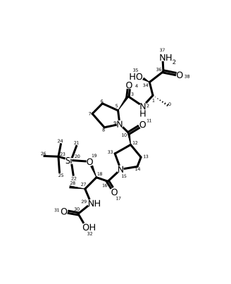 C[C@H](NC(=O)[C@@H]1CCCN1C(=O)[C@H]1CCN(C(=O)[C@H](O[Si](C)(C)C(C)(C)C)[C@H](C)NC(=O)O)C1)[C@@H](O)C(N)=O